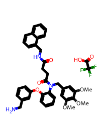 COc1cc(CN(C(=O)CCC(=O)NCc2cccc3ccccc23)c2ccccc2Oc2cccc(CN)c2)cc(OC)c1OC.O=C(O)C(F)(F)F